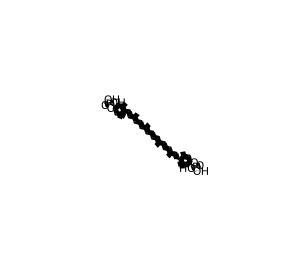 CC1=C[C@H](OP(=O)(O)O)CC(C)(C)[C@H]1/C=C/C(C)=C/C=C/C(C)=C/C=C/C=C(C)/C=C/C=C(C)/C=C/C1=C(C)C[C@@H](OP(=O)(O)O)CC1(C)C